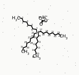 CCCCCCCC[N+](CCCCCCCC)(CCCCCCCC)CCCCCCCC.O=C([O-])[O-].[H+]